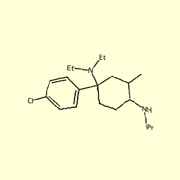 CCN(CC)C1(c2ccc(Cl)cc2)CCC(NC(C)C)C(C)C1